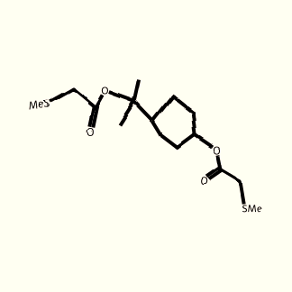 CSCC(=O)OC1CCC(C(C)(C)OC(=O)CSC)CC1